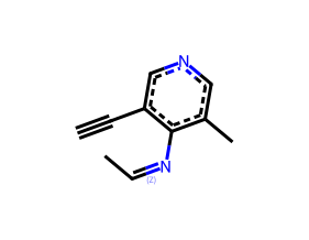 C#Cc1cncc(C)c1/N=C\C